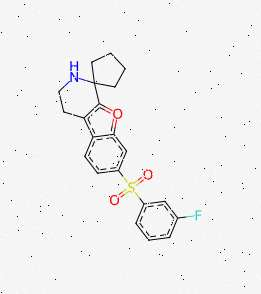 O=S(=O)(c1cccc(F)c1)c1ccc2c3c(oc2c1)C1(CCCC1)NCC3